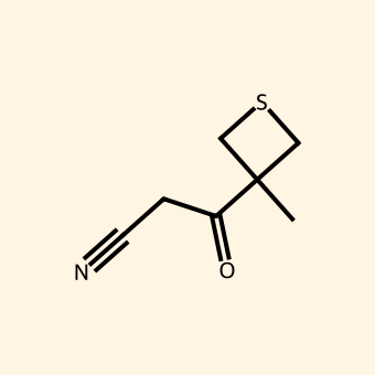 CC1(C(=O)CC#N)CSC1